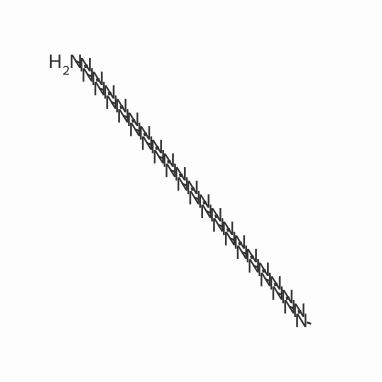 CN=NN=NN=NN=NN=NN=NN=NN=NN=NN=NN=NN=NN=NN=NN=NN=NN=NN=NN=NN